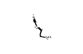 N#CSCCS